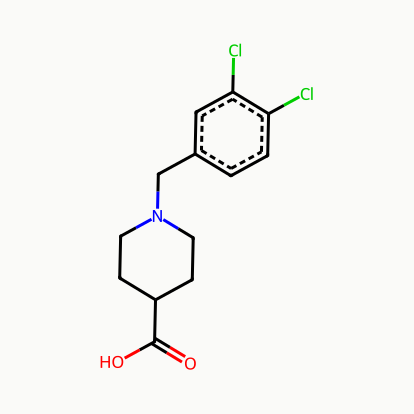 O=C(O)C1CCN(Cc2ccc(Cl)c(Cl)c2)CC1